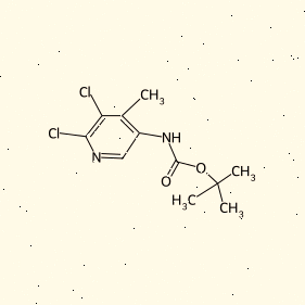 Cc1c(NC(=O)OC(C)(C)C)cnc(Cl)c1Cl